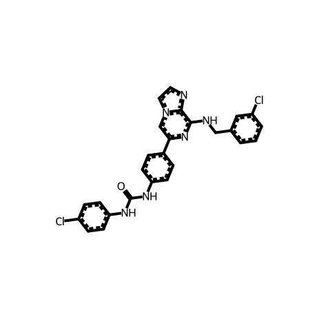 O=C(Nc1ccc(Cl)cc1)Nc1ccc(-c2cn3ccnc3c(NCc3cccc(Cl)c3)n2)cc1